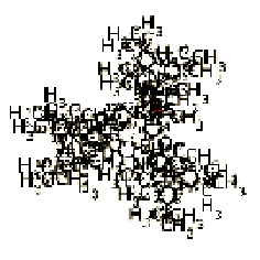 CSN1c2cc3c(cc2B2c4cc5c(cc4Oc4cc(-n6c7c(C(C)(C)C)cc(C(C)(C)C)cc7c7cc(C(C)(C)C)cc(C(C)(C)C)c76)cc1c42)N(SC)c1cc(-n2c4c(C(C)(C)C)cc(C(C)(C)C)cc4c4cc(C(C)(C)C)cc(C(C)(C)C)c42)cc2c1B5c1ccccc1O2)B1c2ccccc2Oc2cc(-n4c5c(C(C)(C)C)cc(C(C)(C)C)cc5c5cc(C(C)(C)C)cc(C(C)(C)C)c54)cc(c21)O3